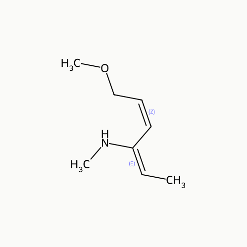 C/C=C(\C=C/COC)NC